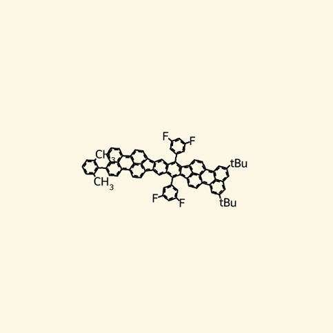 Cc1cccc(C)c1-c1ccc2c3ccc4c5cc6c(-c7cc(F)cc(F)c7)c7c8ccc9c%10cc(C(C)(C)C)cc%11cc(C(C)(C)C)cc(c%12ccc(c7c(-c7cc(F)cc(F)c7)c6cc5c5ccc(c6cccc1c62)c3c54)c8c%129)c%11%10